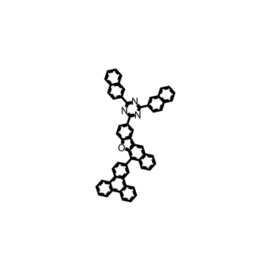 c1ccc2cc(-c3nc(-c4ccc5ccccc5c4)nc(-c4ccc5oc6c(-c7ccc8c9ccccc9c9ccccc9c8c7)c7ccccc7cc6c5c4)n3)ccc2c1